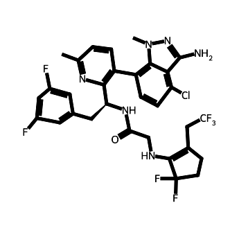 Cc1ccc(-c2ccc(Cl)c3c(N)nn(C)c23)c([C@H](Cc2cc(F)cc(F)c2)NC(=O)CNC2=C(CC(F)(F)F)CCC2(F)F)n1